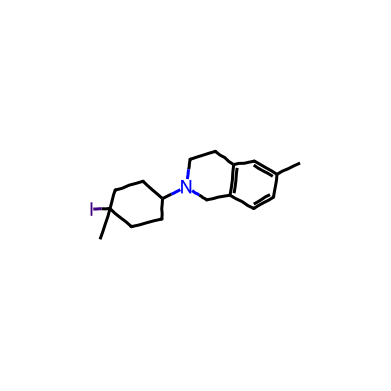 Cc1ccc2c(c1)CCN(C1CCC(C)(I)CC1)C2